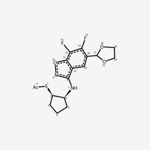 CC(=O)S[C@@H]1CCC[C@@H]1Nc1noc2c(F)c(F)c(C3OCCO3)cc12